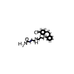 NC(=O)/C=C/CNCCCN1c2ccccc2CCc2ccc(Cl)cc21